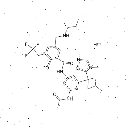 CC(=O)Nc1cc(NC(=O)c2cc(CNCC(C)C)cn(CC(F)(F)F)c2=O)cc(C2(c3nncn3C)CC(C)C2)c1.Cl